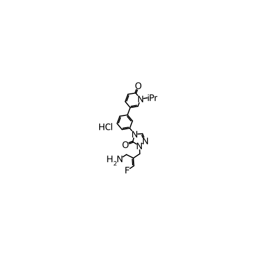 CC(C)n1cc(-c2cccc(-n3cnn(C/C(=C/F)CN)c3=O)c2)ccc1=O.Cl